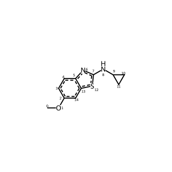 COc1ccc2nc(NC3CC3)sc2c1